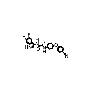 N#Cc1ccc(OC2CCC(NC(=O)C(=O)Nc3c[nH]c4cc(F)c(F)cc34)CC2)cc1